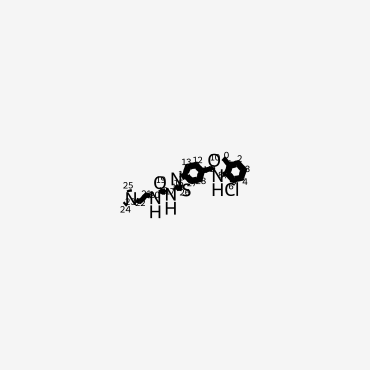 Cc1cccc(Cl)c1NC(=O)c1ccc2nc(NC(=O)NCCN(C)C)sc2c1